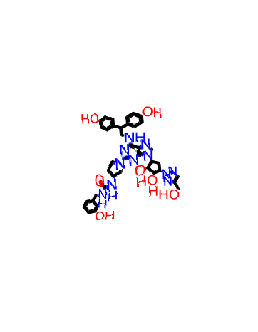 O=C(NCc1cccc(O)c1)NC1CCN(c2nc(NCC(c3ccc(O)cc3)c3ccc(O)cc3)c3ncn([C@@H]4C[C@H](n5ncc(CO)n5)[C@@H](O)[C@H]4O)c3n2)C1